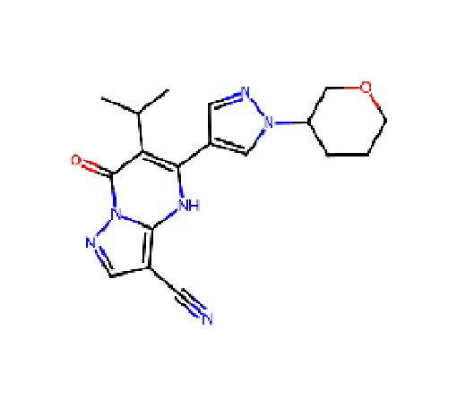 CC(C)c1c(-c2cnn(C3CCCOC3)c2)[nH]c2c(C#N)cnn2c1=O